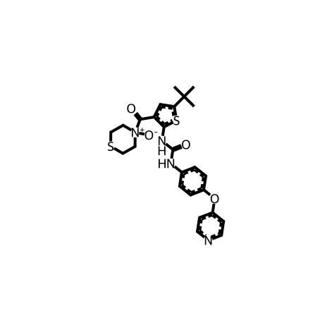 CC(C)(C)c1cc(C(=O)[N+]2([O-])CCSCC2)c(NC(=O)Nc2ccc(Oc3ccncc3)cc2)s1